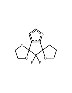 FC1(F)C2(CCCO2)c2sccc2C12OCCO2